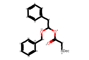 CCCCCCCCCCCC(=O)OC(Cc1ccccc1)OCc1ccccc1